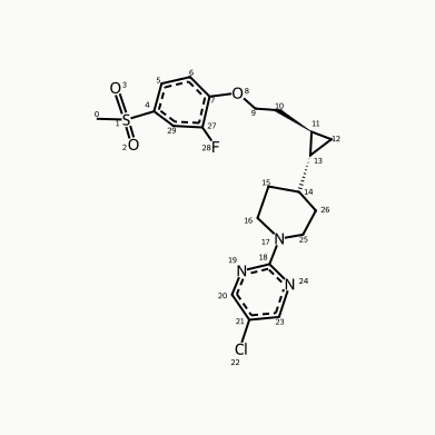 CS(=O)(=O)c1ccc(OCC[C@H]2C[C@@H]2C2CCN(c3ncc(Cl)cn3)CC2)c(F)c1